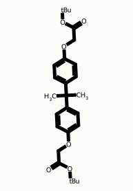 CC(C)(C)OC(=O)COc1ccc(C(C)(C)c2ccc(OCC(=O)OC(C)(C)C)cc2)cc1